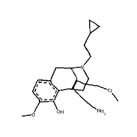 COc1ccc2c(c1O)C13CCN(CCC4CC4)C(C2)C1CC(OC)C(N)C3